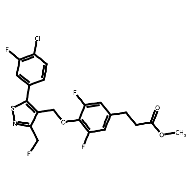 COC(=O)CCc1cc(F)c(OCc2c(CF)nsc2-c2ccc(Cl)c(F)c2)c(F)c1